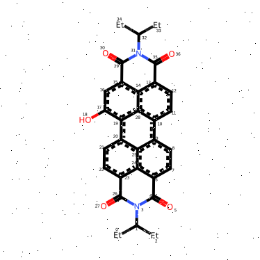 CCC(CC)N1C(=O)c2ccc3c4ccc5c6c(cc(O)c(c7ccc(c2c37)C1=O)c64)C(=O)N(C(CC)CC)C5=O